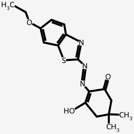 CCOc1ccc2nc(N=NC3=C(O)CC(C)(C)CC3=O)sc2c1